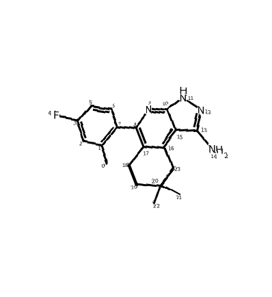 Cc1cc(F)ccc1-c1nc2[nH]nc(N)c2c2c1CCC(C)(C)C2